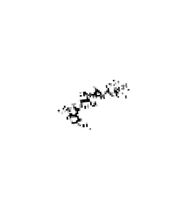 Cc1cnc2c(c1)c(NCC(=O)NC1CN(C(=O)OC(C)(C)C)C1)nn2C